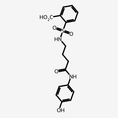 O=C(CCCNS(=O)(=O)c1ccccc1C(=O)O)Nc1ccc(O)cc1